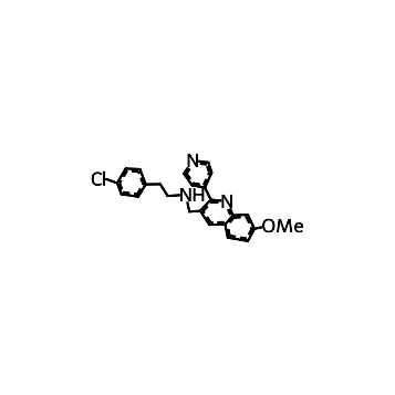 COc1ccc2cc(CNCCc3ccc(Cl)cc3)c(-c3ccncc3)nc2c1